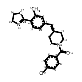 Cc1cc(C=C2CCN(C(=O)c3ccc(Cl)cc3)CC2)ccc1C1=NCCO1